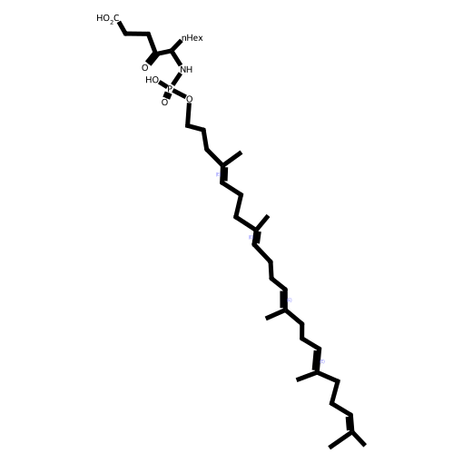 CCCCCCC(NP(=O)(O)OCCC/C(C)=C/CC/C(C)=C/CC/C=C(\C)CC/C=C(\C)CCC=C(C)C)C(=O)CCC(=O)O